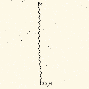 O=C(O)CCCCCCCCCCCCCCCCCCCCCCCCCCCCCBr